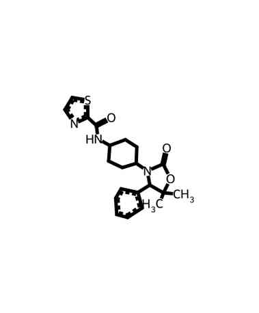 CC1(C)OC(=O)N(C2CCC(NC(=O)c3nccs3)CC2)C1c1ccccc1